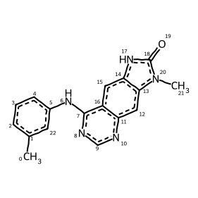 Cc1cccc(Nc2ncnc3cc4c(cc23)[nH]c(=O)n4C)c1